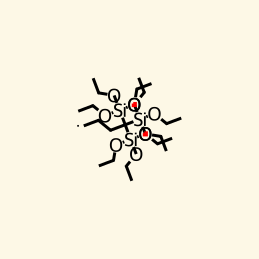 [CH2]CCC([Si](OCC)(OCC)OCC)([Si](OCC)(OCC)OCC)[Si](OCC)(OCC)OCC